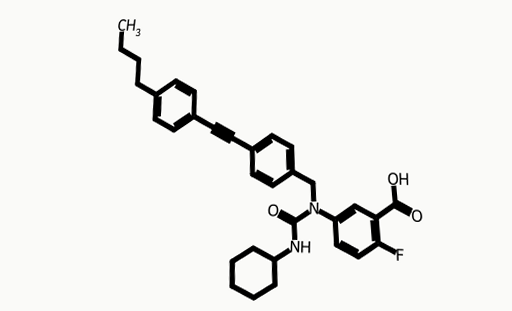 CCCCc1ccc(C#Cc2ccc(CN(C(=O)NC3CCCCC3)c3ccc(F)c(C(=O)O)c3)cc2)cc1